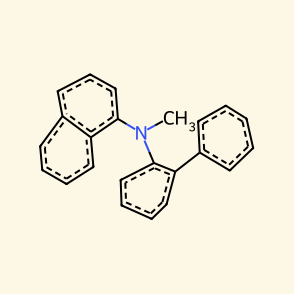 CN(c1ccccc1-c1ccccc1)c1cccc2ccccc12